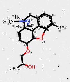 CCCC(O)COC1C=C[C@H]2[C@H]3Cc4ccc(OC(C)=O)c5c4[C@@]2(CCN3C)C1O5